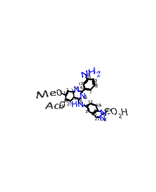 COc1cc2nc(-c3cccc(N)c3)nc(Nc3ccc4c(cnn4C(=O)O)c3)c2cc1OC(C)=O